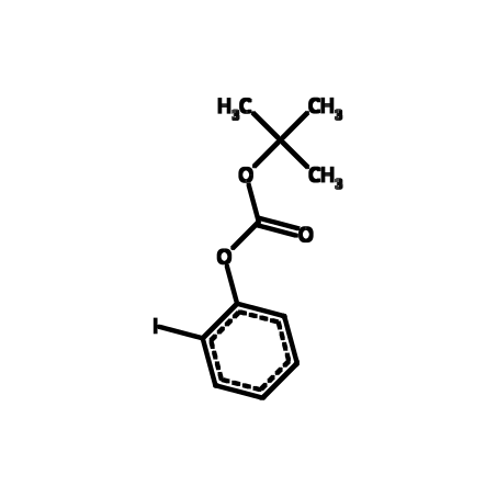 CC(C)(C)OC(=O)Oc1ccccc1I